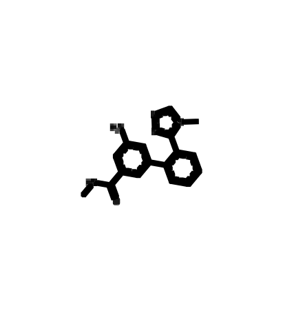 CNC(=O)c1cc(N)cc(-c2ccccc2-c2nncn2C)c1